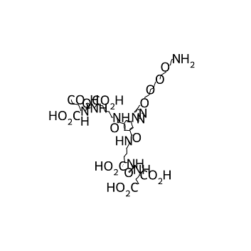 NCCOCCOCCOCCOCc1cn(-c2cc(C(=O)NCCCC[C@H](NC(=O)N[C@@H](CCC(=O)O)C(=O)O)C(=O)O)cc(C(=O)NCCCC[C@H](NC(=O)N[C@@H](CCC(=O)O)C(=O)O)C(=O)O)c2)nn1